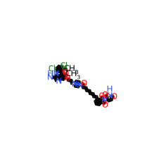 COc1cc(Nc2c(C#N)cnc3cc(OCCCN4CCN(C(=O)CCCCCCCCc5cccc6c5C(=O)N(C5CCC(=O)NC5=O)C6=O)CC4)c(OC)cc23)c(Cl)cc1Cl